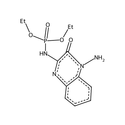 CCOP(=O)(Nc1nc2ccccc2n(N)c1=O)OCC